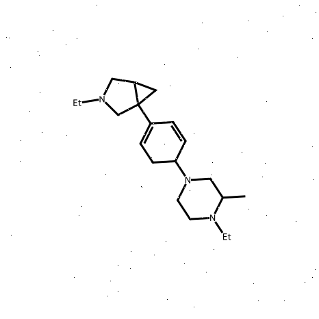 CCN1CC2CC2(C2=CCC(N3CCN(CC)C(C)C3)C=C2)C1